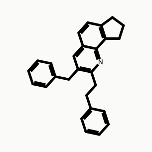 c1ccc(CCc2nc3c4c(ccc3cc2Cc2ccccc2)CCC4)cc1